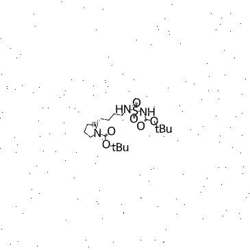 CC(C)(C)OC(=O)NS(=O)(=O)NCCCC[C@H]1CCCN1C(=O)OC(C)(C)C